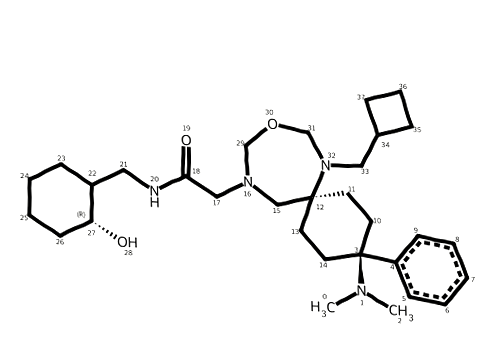 CN(C)[C@]1(c2ccccc2)CC[C@]2(CC1)CN(CC(=O)NCC1CCCC[C@H]1O)COCN2CC1CCC1